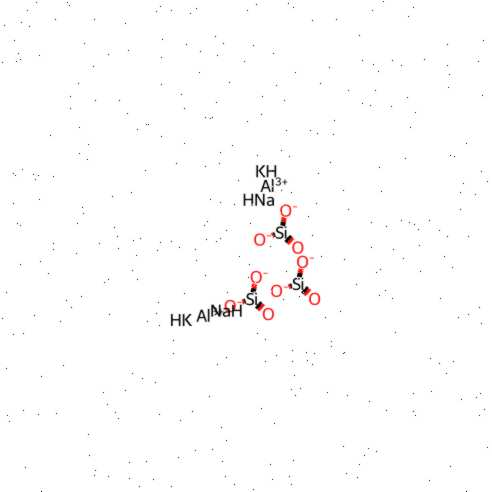 O=[Si]([O-])[O-].O=[Si]([O-])[O-].O=[Si]([O-])[O-].[Al+3].[Al+3].[KH].[KH].[NaH].[NaH]